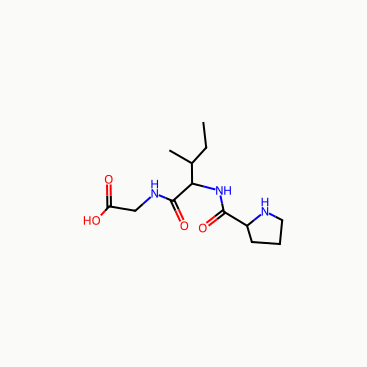 CCC(C)C(NC(=O)C1CCCN1)C(=O)NCC(=O)O